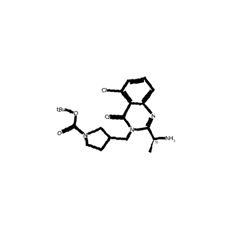 C[C@H](N)c1nc2cccc(Cl)c2c(=O)n1CC1CCN(C(=O)OC(C)(C)C)C1